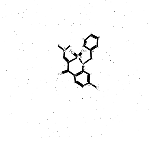 CN(C)/C=C1/C(=O)c2ccc(Cl)cc2N(Cc2ccccc2)S1(=O)=O